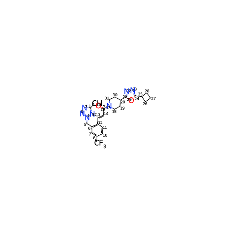 Cc1nnn(Cc2cc(C(F)(F)F)ccc2C=CC(=O)N2CCC(c3nnc(C4CCC4)o3)CC2)n1